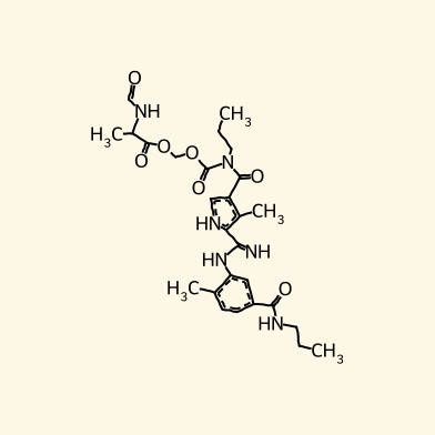 CCCNC(=O)c1ccc(C)c(NC(=N)c2[nH]cc(C(=O)N(CCC)C(=O)OCOC(=O)C(C)NC=O)c2C)c1